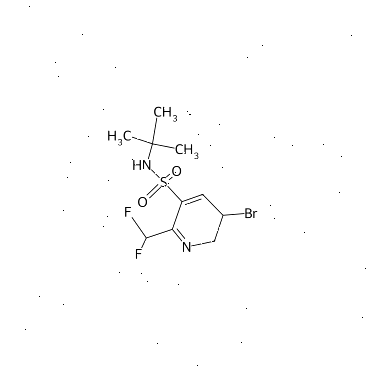 CC(C)(C)NS(=O)(=O)C1=CC(Br)CN=C1C(F)F